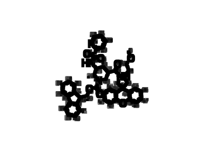 COCCCCC1(CNC(=O)C2CC(NS(=O)(=O)c3ccccn3)CN(C(=O)OCC3c4ccccc4-c4ccccc43)C2)c2ccccc2Oc2ccccc21